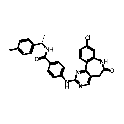 Cc1ccc([C@H](C)NC(=O)c2ccc(Nc3ncc4c(n3)-c3ccc(Cl)cc3NC(=O)C4)cc2)cc1